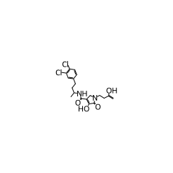 C=C(O)CCN1CC(C(=O)NC(C)CCc2ccc(Cl)c(Cl)c2)=C(O)C1=O